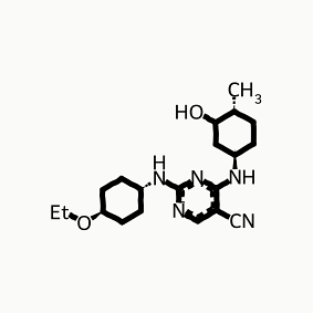 CCO[C@H]1CC[C@H](Nc2ncc(C#N)c(N[C@@H]3CC[C@@H](C)C(O)C3)n2)CC1